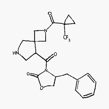 O=C1OCC(Cc2ccccc2)N1C(=O)C1CNCC12CN(C(=O)C1(C(F)(F)F)CC1)C2